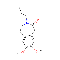 CCCN1CCc2cc(OC)c(OC)cc2CC1=O